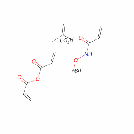 C=C(C)C(=O)O.C=CC(=O)NOCCCC.C=CC(=O)OC(=O)C=C